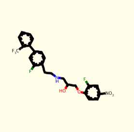 O=[N+]([O-])c1ccc(OCC(O)CNCCc2ccc(-c3ccccc3C(F)(F)F)cc2F)c(F)c1